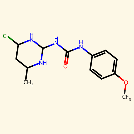 CC1CC(Cl)NC(NC(=O)Nc2ccc(OC(F)(F)F)cc2)N1